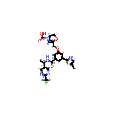 Cc1cnc(-c2cc(OCC34CC(CO3)N(C(=O)O)C4)cc(C(=O)NC(C)c3cnc(C(F)(F)F)nc3)c2)s1